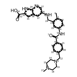 Cc1ccc(NC(=O)c2ccc(CN3CCN(C)CC3)cc2)cc1CNc1cnc2[nH]c(C(=O)O)cc2c1